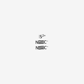 [C-]#N.[C-]#N.[S+2]